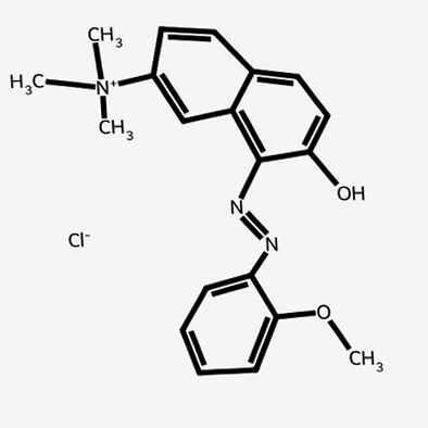 COc1ccccc1N=Nc1c(O)ccc2ccc([N+](C)(C)C)cc12.[Cl-]